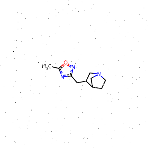 Cc1nc(CC2CN3CCC2C3)no1